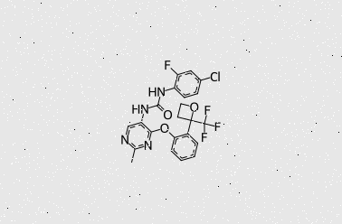 Cc1ncc(NC(=O)Nc2ccc(Cl)cc2F)c(Oc2ccccc2C2(C(F)(F)F)CCO2)n1